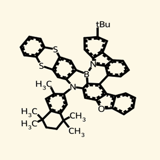 Cc1cc2c(cc1N1c3cc4c(cc3B3c5c1cc1oc6ccccc6c1c5-c1cccc5c6cc(C(C)(C)C)ccc6n3c15)Sc1ccccc1S4)C(C)(C)CCC2(C)C